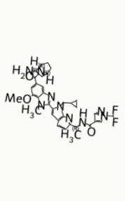 COc1cc(C(=O)N2[C@H]3CC[C@@H]2[C@H](N)C3)cc2nc(-c3cc4ccc([C@@H](C)NC(=O)c5cnn(C(F)F)c5)nc4n3CC3CC3)n(C)c12